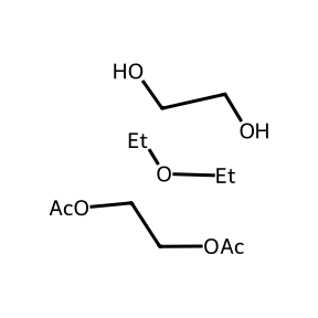 CC(=O)OCCOC(C)=O.CCOCC.OCCO